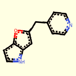 c1cc(Cc2cc3[nH]ccc3o2)ccn1